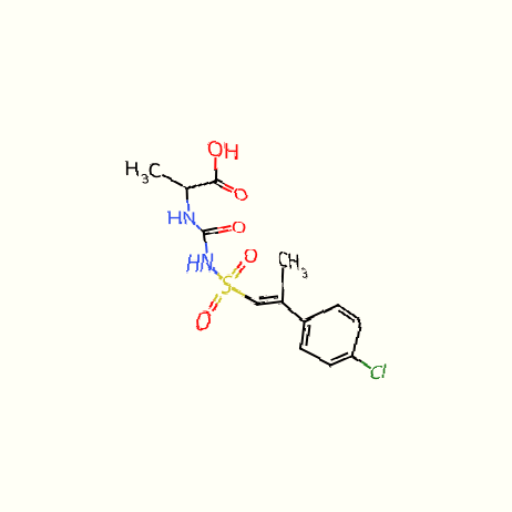 CC(=CS(=O)(=O)NC(=O)NC(C)C(=O)O)c1ccc(Cl)cc1